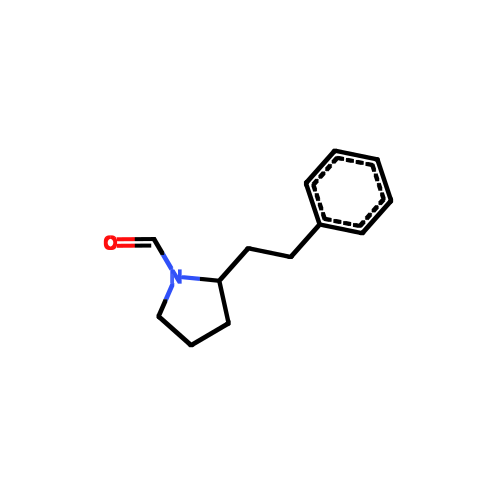 O=CN1CCCC1CCc1ccccc1